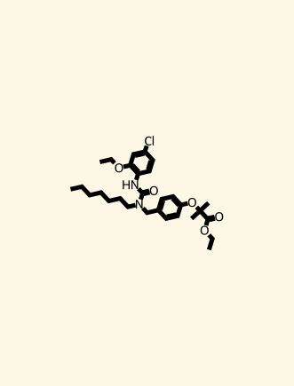 CCCCCCCN(Cc1ccc(OC(C)(C)C(=O)OCC)cc1)C(=O)Nc1ccc(Cl)cc1OCC